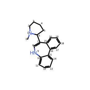 CN1CCCCC1C1=CNc2ccccc2-c2ccccc21